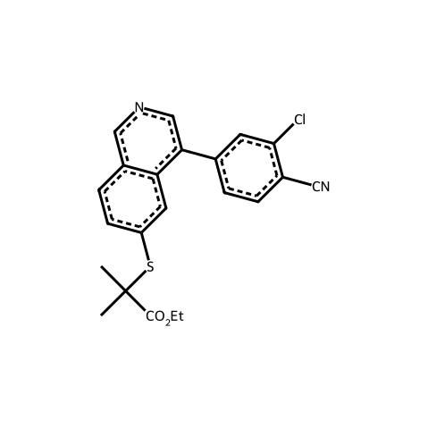 CCOC(=O)C(C)(C)Sc1ccc2cncc(-c3ccc(C#N)c(Cl)c3)c2c1